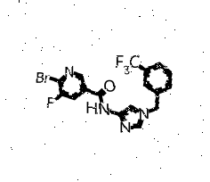 O=C(Nc1cn(Cc2cccc(C(F)(F)F)c2)cn1)c1cnc(Br)c(F)c1